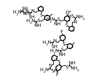 COc1ccc(Sc2ccccc2CN=C(N)S)c(CSC(=N)N)c1.Cc1ccc(CSC(=N)N)c(Sc2ccc(F)cc2CN=C(N)S)c1.Cc1ccc(CSC(=N)N)c(Sc2ccccc2CN=C(N)S)c1.N=C(N)S.N=C(N)SCc1cc(F)ccc1Sc1ccccc1CN=C(N)S